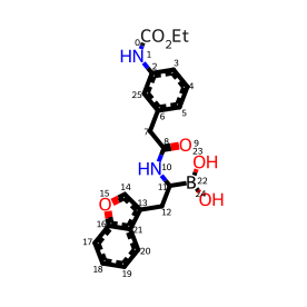 CCOC(=O)Nc1cccc(CC(=O)NC(Cc2coc3ccccc23)B(O)O)c1